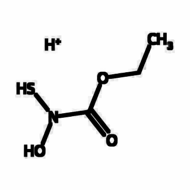 CCOC(=O)N(O)S.[H+]